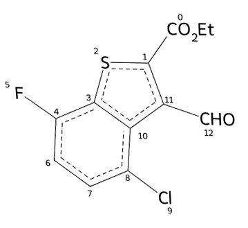 CCOC(=O)c1sc2c(F)ccc(Cl)c2c1C=O